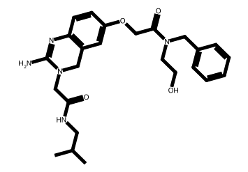 CC(C)CNC(=O)CN1Cc2cc(OCC(=O)N(CCO)Cc3ccccc3)ccc2N=C1N